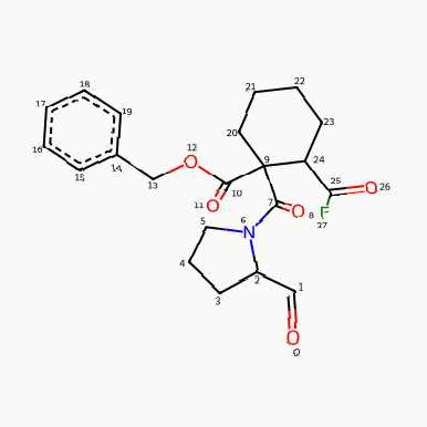 O=CC1CCCN1C(=O)C1(C(=O)OCc2ccccc2)CCCCC1C(=O)F